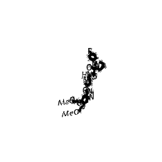 COCCOc1cc2ncnc(Oc3ccc(NC(=O)c4c5n(n(-c6ccc(F)cc6)c4=O)CCCC5)nc3)c2cc1OCCOC